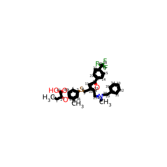 CCC(Oc1ccc(SCc2cc(-c3ccc(C(F)(F)F)cc3)oc2CN(C)CCc2ccccc2)cc1C)C(=O)O